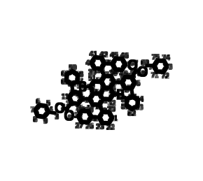 O=C(OCc1ccccc1)c1cc2c3c(c1)-c1cc(-c4ccccc4-c4ccccc4)c4cc5c6c(cc(-c7ccccc7-c7ccccc7)c7cc(c1c4c76)B3c1ccccc1-2)-c1cc(C(=O)OCc2ccccc2)cc2c1B5c1ccccc1-2